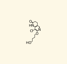 O=C1CCc2cnc(OCCCCO)c(Cl)c2N1